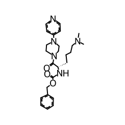 CN(C)CCCC[C@H](NC(=O)OCc1ccccc1)C(=O)N1CCN(c2ccncc2)CC1